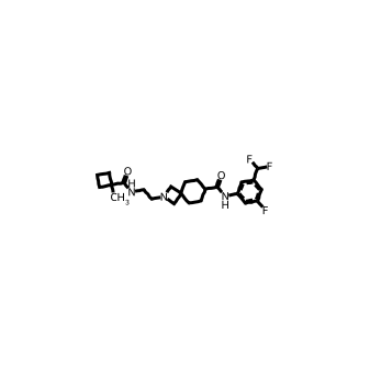 CC1(C(=O)NCCN2CC3(CCC(C(=O)Nc4cc(F)cc(C(F)F)c4)CC3)C2)CCC1